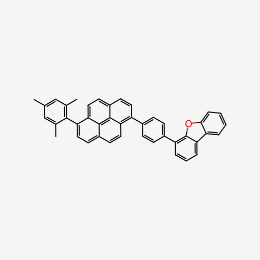 Cc1cc(C)c(-c2ccc3ccc4c(-c5ccc(-c6cccc7c6oc6ccccc67)cc5)ccc5ccc2c3c54)c(C)c1